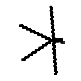 CCCCCCCCCCCCCCCCC(CCCCCCCCCCCCCCCC)=C(CCCCCCCCCCCCCCCC)CCCCCCCCCCCCCCCC.N.N